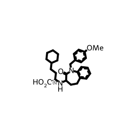 COc1ccc(CN2C(=O)C(N[C@@H](CCC3CCCCC3)C(=O)O)CCc3ccccc32)cc1